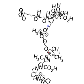 Cc1c(-c2ccc(N3CCc4cccc(C(=O)Nc5nc6ccccc6s5)c4C3)nc2C(=O)O)cnn1CC12CC3(C)CC(C)(C1)CC(OCCOCCON(C)C(=O)OC/C=C/c1ccc(O[C@@H]4O[C@H](C(=O)O)[C@H](O)[C@H](O)[C@@H]4O)c(NC(=O)CCNC(=O)CCCCCN4C(=O)C=CC4=O)c1)(C3)C2